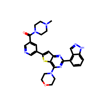 CN1CCN(C(=O)c2cncc(-c3cc4nc(-c5cccc6[nH]ncc56)nc(N5CCOCC5)c4s3)c2)CC1